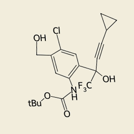 CC(C)(C)OC(=O)Nc1cc(CO)c(Cl)cc1C(O)(C#CC1CC1)C(F)(F)F